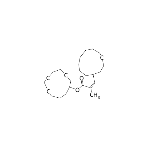 CC(=CC1CCCCCCCCCC1)C(=O)OC1CCCCCCCCCC1